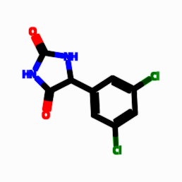 O=C1NC(=O)C(c2cc(Cl)cc(Cl)c2)N1